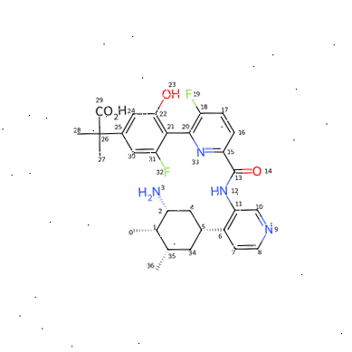 C[C@@H]1[C@H](N)C[C@H](c2ccncc2NC(=O)c2ccc(F)c(-c3c(O)cc(C(C)(C)C(=O)O)cc3F)n2)C[C@@H]1C